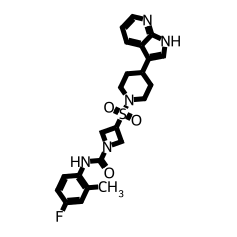 Cc1cc(F)ccc1NC(=O)N1CC(S(=O)(=O)N2CCC(c3c[nH]c4ncccc34)CC2)C1